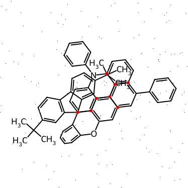 CC(C)(C)c1ccc2c(c1)C1(c3ccccc3Oc3ccc(-c4ccccc4N(c4ccccc4)c4ccccc4-c4ccc(-c5ccccc5)cc4)cc31)c1cc(C(C)(C)C)ccc1-2